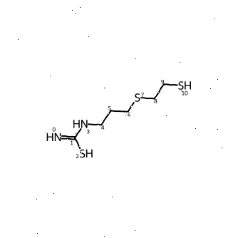 N=C(S)NCCCSCCS